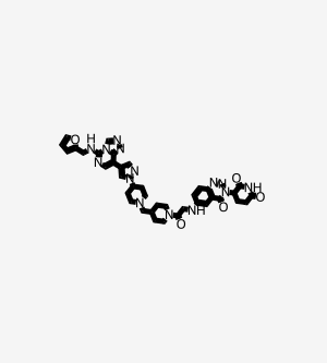 O=C1CCC(n2nnc3ccc(NCC(=O)N4CCC(CN5CCC(n6cc(-c7cnc(NCc8ccco8)n8cnnc78)cn6)CC5)CC4)cc3c2=O)C(=O)N1